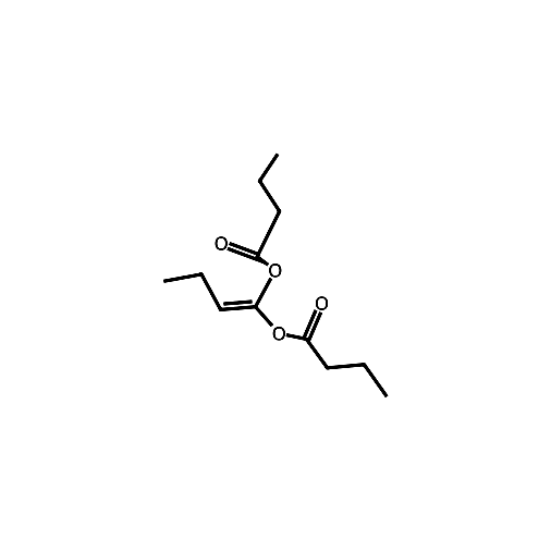 CCC=C(OC(=O)CCC)OC(=O)CCC